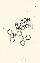 CC(C)(O)C(C)(C)OBC1=CC(n2c3ccccc3c3ccccc32)=CC(N2c3ccccc3C3C=CC=CC32)C1